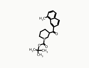 Cc1cccc2ccc(C(=O)C3CCCN(C(=O)OC(C)(C)C)C3)cc12